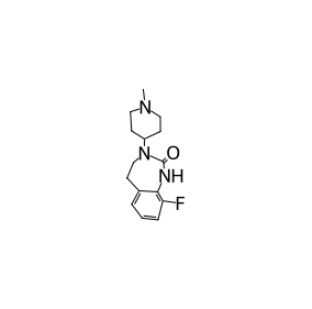 CN1CCC(N2CCc3cccc(F)c3NC2=O)CC1